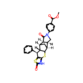 COC(=O)c1ccc(N2C[C@@H]3[C@H](C2=O)[C@H]2C[C@@H]3C3Sc4[nH]c(=O)sc4[C@@H](c4ccccc4)[C@@H]32)cc1